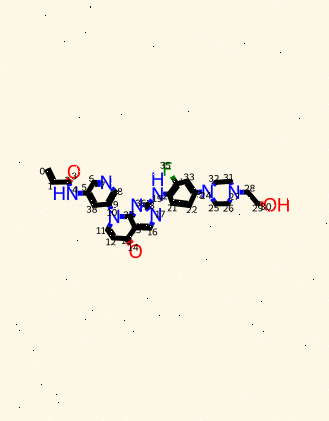 C=CC(=O)Nc1cncc(-n2ccc(=O)c3cnc(Nc4ccc(N5CCN(CCO)CC5)cc4F)nc32)c1